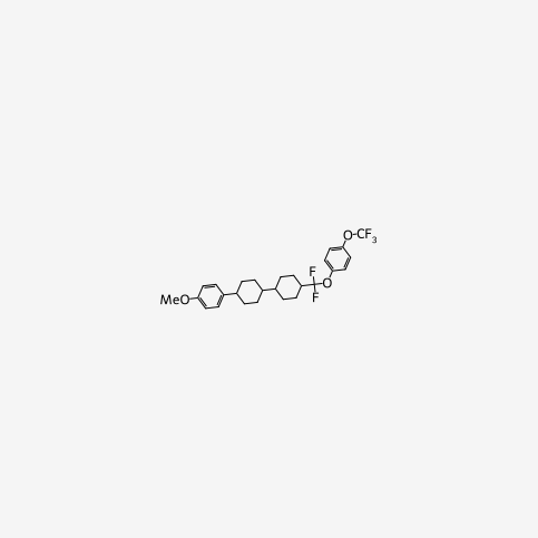 COc1ccc(C2CCC(C3CCC(C(F)(F)Oc4ccc(OC(F)(F)F)cc4)CC3)CC2)cc1